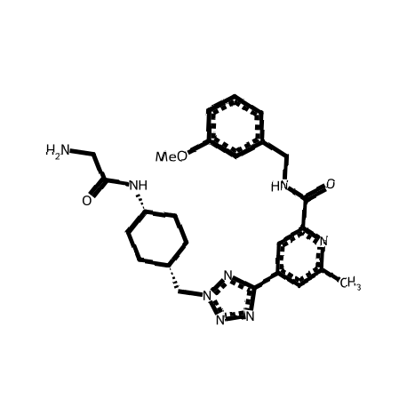 COc1cccc(CNC(=O)c2cc(-c3nnn(C[C@H]4CC[C@@H](NC(=O)CN)CC4)n3)cc(C)n2)c1